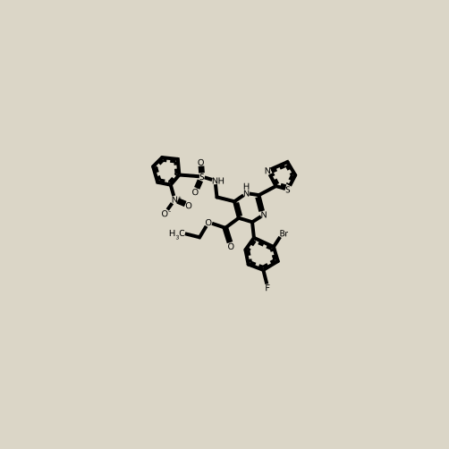 CCOC(=O)C1=C(CNS(=O)(=O)c2ccccc2[N+](=O)[O-])NC(c2nccs2)=NC1c1ccc(F)cc1Br